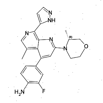 Cc1cnc(-c2ccn[nH]2)c2nc(N3CCOC[C@H]3C)cc(-c3ccc(N)c(F)c3)c12